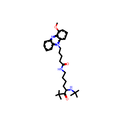 COc1cccc2c1nc1ccccc1[n+]2CCCCC(=O)NCCCCC(NC(C)(C)C)C(=O)C(C)(C)C